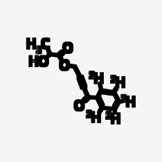 [2H]c1c([2H])c([2H])c(C(=O)C#CCOC(=O)C(C)O)c([2H])c1[2H]